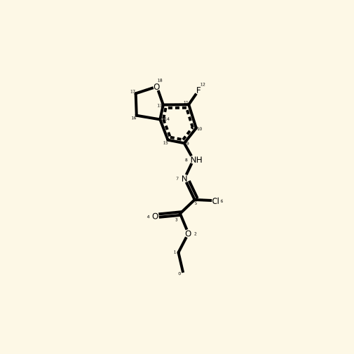 CCOC(=O)/C(Cl)=N/Nc1cc(F)c2c(c1)CCO2